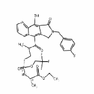 CCOC(=O)[C@H](C)N[P@](=O)(CCN(C)C(=O)c1c2c(c(O)c3ncccc13)C(=O)N(Cc1ccc(F)cc1)C2)OCC(F)(F)F